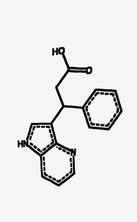 O=C(O)CC(c1ccccc1)c1c[nH]c2cccnc12